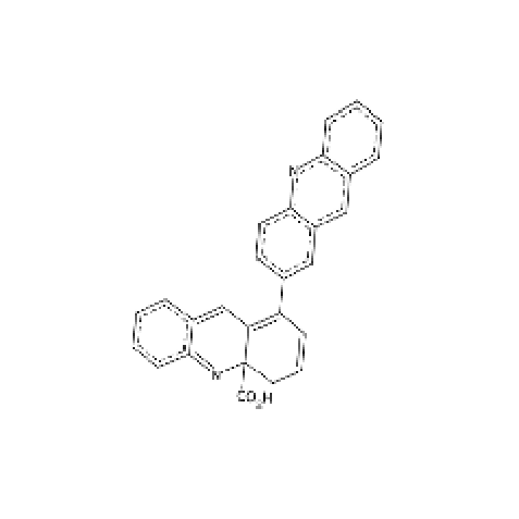 O=C(O)C12CC=CC(c3ccc4nc5ccccc5cc4c3)=C1C=c1ccccc1=N2